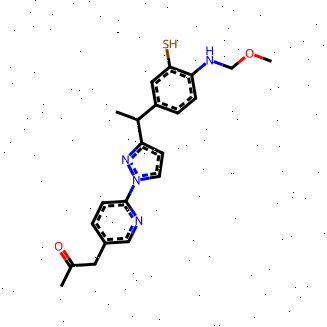 COCNc1ccc(C(C)c2ccn(-c3ccc(CC(C)=O)cn3)n2)cc1S